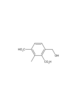 Cc1c(C(=O)O)ccc(CO)c1C(=O)O